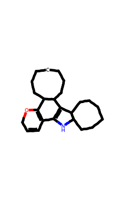 C1=CC2=C(OC1)C1CCCCCCCC1C1=C2NC2CCCCCCC12